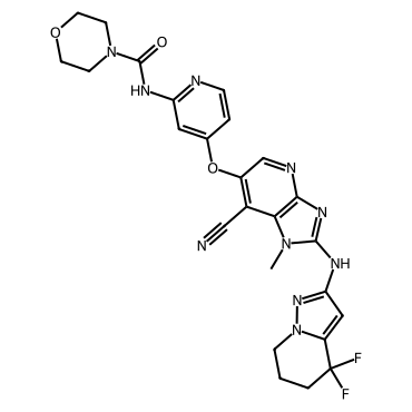 Cn1c(Nc2cc3n(n2)CCCC3(F)F)nc2ncc(Oc3ccnc(NC(=O)N4CCOCC4)c3)c(C#N)c21